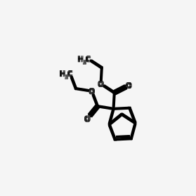 CCOC(=O)C1(C(=O)OCC)CC2C=CC1C2